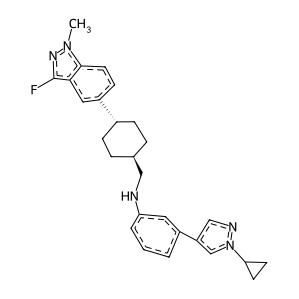 Cn1nc(F)c2cc([C@H]3CC[C@H](CNc4cccc(-c5cnn(C6CC6)c5)c4)CC3)ccc21